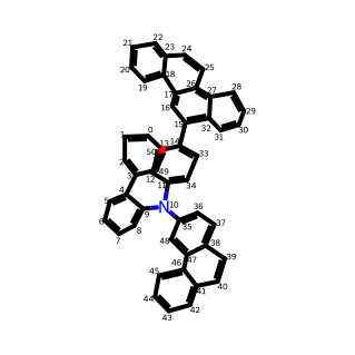 c1ccc(-c2ccccc2N(c2ccc(-c3cc4c5ccccc5ccc4c4ccccc34)cc2)c2ccc3ccc4ccccc4c3c2)cc1